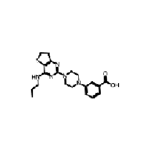 CCCNc1nc(N2CCN(c3cccc(C(=O)O)c3)CC2)nc2c1SCC2